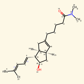 CCCC/C(=C/C=C/[C@@H]1[C@H]2CC(CCCCC(=O)N(C)C)=C[C@H]2C[C@H]1O)CC